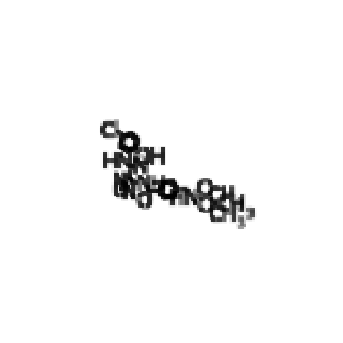 CC(C)(C)OC(=O)NCc1ccc(C(=O)Nc2nonc2C(=NO)Nc2cccc(Cl)c2)cc1